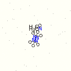 CC1(C)C(c2ccc(-c3c(-c4ccccc4)nc(-c4nc(-c5ccccc5)c(-c5ccccc5)c(-c5ccccc5)n4)nc3-c3ccccc3)cc2)=Nc2ccccc21